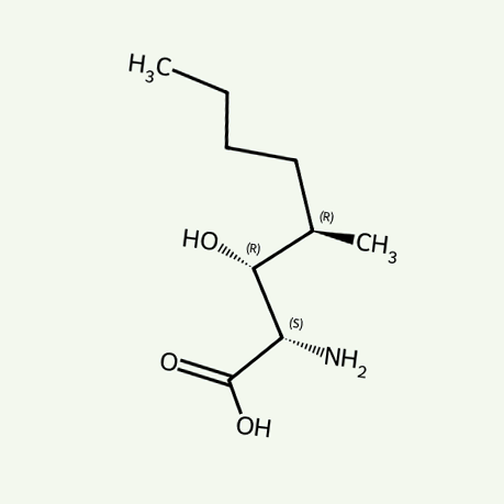 CCCC[C@@H](C)[C@@H](O)[C@H](N)C(=O)O